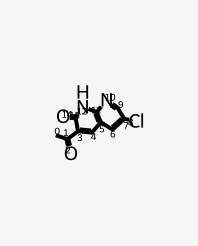 CC(=O)c1cc2cc(Cl)cnc2[nH]c1=O